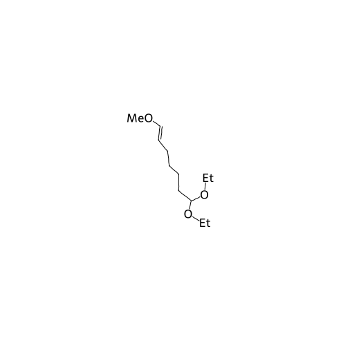 CCOC(CCCCC=COC)OCC